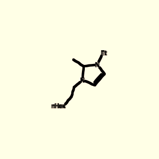 CCCCCCCCN1C=CN(CC)C1C